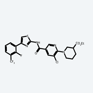 CCOC(=O)C1CCCN(c2ncc(C(=O)Nc3nc(-c4cccc(C(F)(F)F)c4F)cs3)cc2Cl)C1